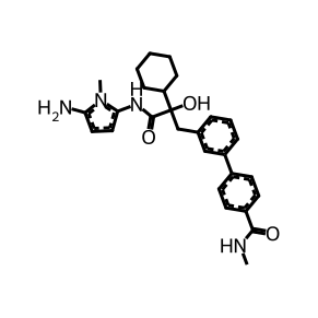 CNC(=O)c1ccc(-c2cccc(CC(O)(C(=O)Nc3ccc(N)n3C)C3CCCCC3)c2)cc1